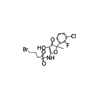 CC1(c2cccc(Cl)c2F)OC(NS(=O)(=O)CCCBr)=C(O)C1=O